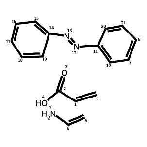 C=CC(=O)O.C=CN.c1ccc(N=Nc2ccccc2)cc1